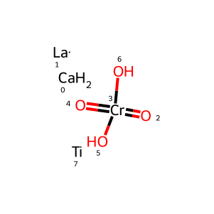 [CaH2].[La].[O]=[Cr](=[O])([OH])[OH].[Ti]